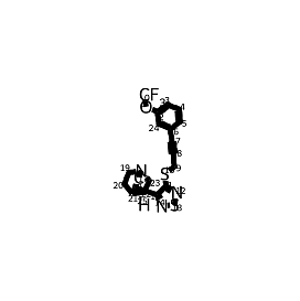 FC(F)(F)Oc1cccc(C#CCSc2nsnc2[C@@H]2CN3CCC2CC3)c1